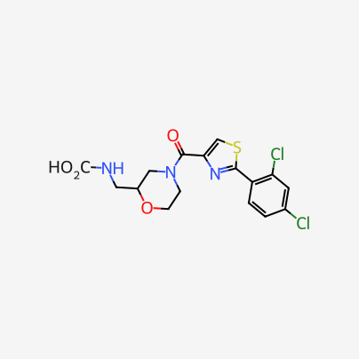 O=C(O)NCC1CN(C(=O)c2csc(-c3ccc(Cl)cc3Cl)n2)CCO1